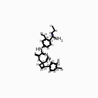 C=C1CC2(C=CN=C1Nc1ccc(/C(N)=C/CC)c(CC)c1)CC=C2c1ccc(C)c(F)c1F